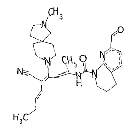 CC/C=C/C(C#N)=C(\C=C(/C)NC(=O)N1CCCc2ccc(C=O)nc21)N1CCC2(CCN(C)C2)CC1